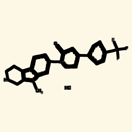 Cl.Cn1c2c(c3ccc(-n4ccc(-c5ccc(C(F)(F)F)cc5)cc4=O)cc31)CCNC2